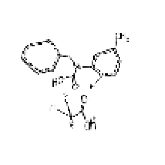 Cc1ccc(F)c(N(Cc2ccccc2)C(=O)O)c1.O=C(O)C(F)(F)F